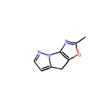 Cc1nc2c(o1)Cc1ccnn1-2